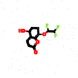 O=c1ccc2c(O)ccc(OC(F)=C(F)F)c2o1